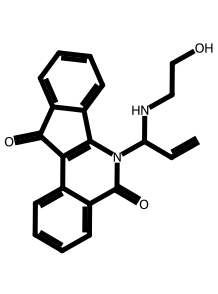 C=CC(NCCO)n1c2c(c3ccccc3c1=O)C(=O)c1ccccc1-2